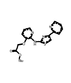 CC(C)(C)OC(=O)COc1cccnc1Nc1nc(-c2ccccn2)cs1